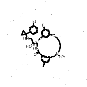 CCCN1CCCCOc2cc(F)cc(c2)C[C@@H]([C@H](O)CNC2(c3cccc(CC)c3)CC2)NC(=O)c2cc(C)cc(c2)C1